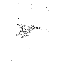 CCc1cccc(-c2c(Cl)cccc2[C@](O)(CCCNC(=O)OC)[C@@H]2CCCN(C(=O)c3ccc(CNC(C)C)cc3)C2)c1